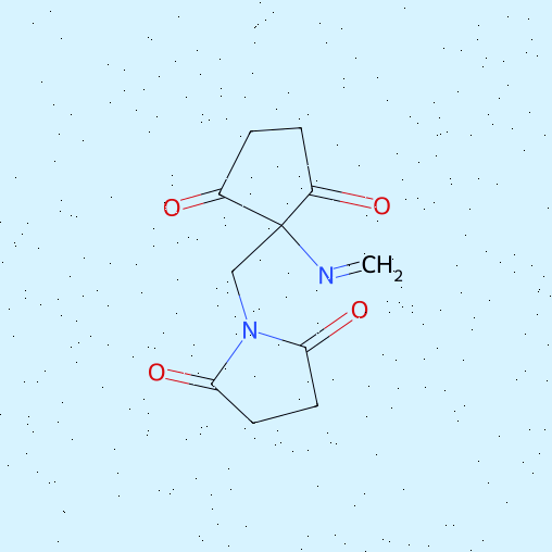 C=NC1(CN2C(=O)CCC2=O)C(=O)CCC1=O